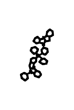 c1ccc(-n2c3ccccc3n3c4cc([Si](c5ccccc5)(c5ccccc5)c5cccc(-n6c7ccccc7n7c8ccccc8cc67)c5)ccc4cc23)cc1